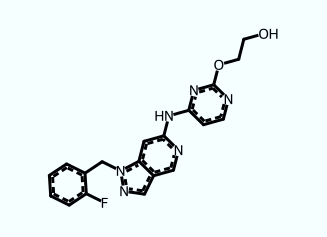 OCCOc1nccc(Nc2cc3c(cn2)cnn3Cc2ccccc2F)n1